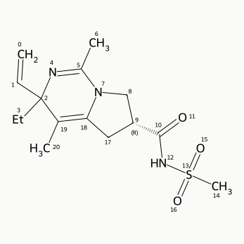 C=CC1(CC)N=C(C)N2C[C@H](C(=O)NS(C)(=O)=O)CC2=C1C